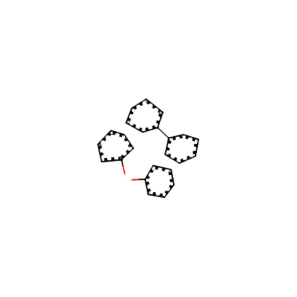 c1ccc(-c2ccccc2)cc1.c1ccc(Oc2ccccc2)cc1